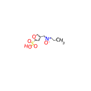 CCC[N+]([O-])=Cc1coc(S(=O)(=O)O)c1